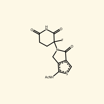 CC(=O)Nc1scc2c1CN(C1(F)CCC(=O)NC1=O)C2=O